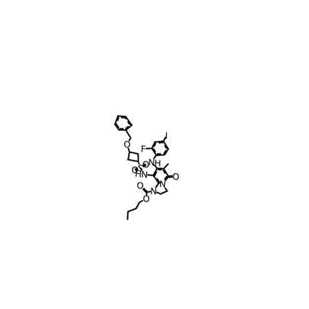 CCCCOC(=O)N1CCn2c1c(NS(=O)(=O)C1CC(OCc3ccccc3)C1)c(Nc1ccc(I)cc1F)c(C)c2=O